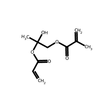 C=CC(=O)OC(C)(O)COC(=O)C(=C)C